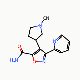 N#CN1CCC(c2c(-c3ccccn3)noc2C(N)=O)C1